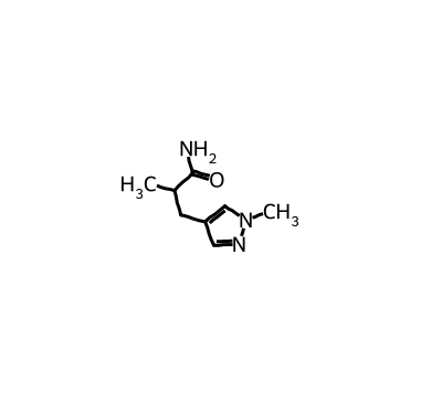 CC(Cc1cnn(C)c1)C(N)=O